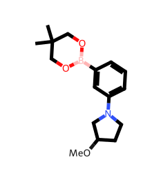 COC1CCN(c2cccc(B3OCC(C)(C)CO3)c2)C1